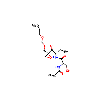 CCCCCCC(=O)N[C@@H](CO)C(=O)N[C@@H](CC(C)C)C(=O)[C@@]1(COCOCCOC)CO1